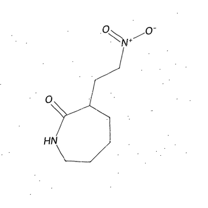 O=C1NCCCCC1CC[N+](=O)[O-]